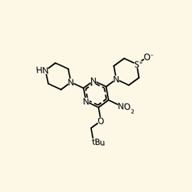 CC(C)(C)COc1nc(N2CCNCC2)nc(N2CC[S+]([O-])CC2)c1[N+](=O)[O-]